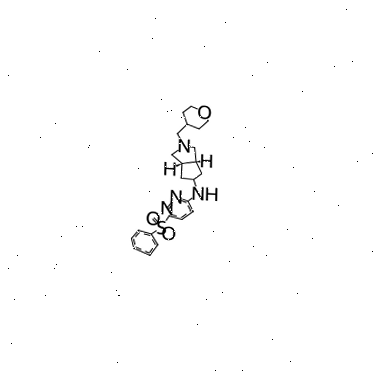 O=S(=O)(c1ccccc1)c1ccc(NC2C[C@@H]3CN(CC4CCOCC4)C[C@@H]3C2)nn1